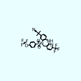 CC(C)(C#N)c1ccc2c(c1)N(S(=O)(=O)c1ccc(OC(F)(F)F)cc1)Cc1ccc(C(F)(F)F)nc1N2